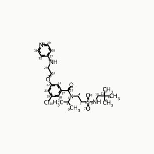 CC(C)N(CCS(=O)(=O)NCC(C)(C)C)C(=O)c1cc(Cl)cc(OCCNc2ccncc2)c1